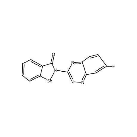 O=c1c2ccccc2[se]n1-c1nnc2cc(F)ccc2n1